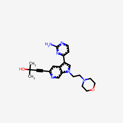 CC(C)(O)C#Cc1cc2c(-c3ccnc(N)n3)cn(CCN3CCOCC3)c2cn1